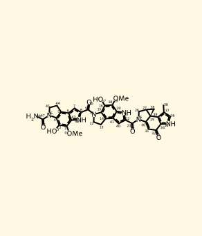 COc1c(O)c2c(c3cc(C(=O)N4CCc5c4c(O)c(OC)c4[nH]c(C(=O)N6CC7C[C@@]78C6=CC(=O)c6[nH]cc(C)c68)cc54)[nH]c13)CCN2C(N)=O